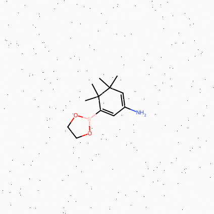 CC1(C)C=C(N)C=C(B2OCCO2)C1(C)C